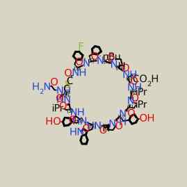 CCCC[C@H]1C(=O)N2CCC[C@@H]2C(=O)N[C@@H](CC(=O)O)C(=O)N[C@@H](C(C)C)C(=O)N(C)[C@@H](CC(C)C)C(=O)N[C@@H](Cc2ccc(O)cc2)C(=O)N2CCC[C@@H]2C(=O)N[C@@H](Cc2c[nH]c3ccccc23)C(=O)N[C@@H](Cc2ccc(O)cc2)C(=O)N[C@@H](CC(C)C)C(=O)N[C@H](C(=O)NCC(N)=O)CSCC(=O)N[C@@H](Cc2ccc(F)cc2)C(=O)N(C)[C@@H](Cc2ccccc2)C(=O)N1C